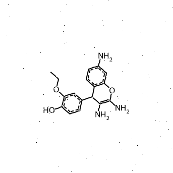 CCOc1cc(C2C(N)=C(N)Oc3cc(N)ccc32)ccc1O